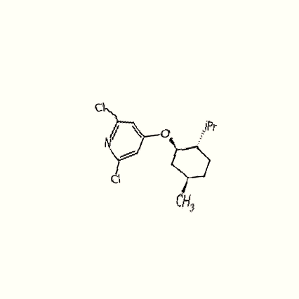 CC(C)[C@@H]1CC[C@@H](C)C[C@H]1Oc1cc(Cl)nc(Cl)c1